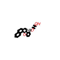 CC(C)(O)C(C)(C)OBc1cccc2c1C1C=Cc3ccc4ccccc4c3C1O2